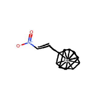 O=[N+]([O-])C=C[C]12[CH]3[CH]4[CH]5[CH]1[Fe]45321678[CH]2[CH]1[CH]6[CH]7[CH]28